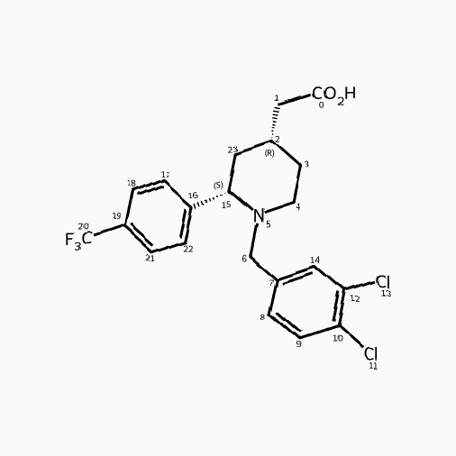 O=C(O)C[C@@H]1CCN(Cc2ccc(Cl)c(Cl)c2)[C@H](c2ccc(C(F)(F)F)cc2)C1